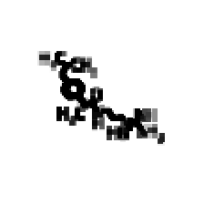 CC(C)Cc1ccc([C@@H](C)C(=O)NCCCN(O)C(=N)N)cc1